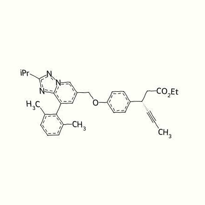 CC#C[C@@H](CC(=O)OCC)c1ccc(OCc2cc(-c3c(C)cccc3C)c3nc(C(C)C)nn3c2)cc1